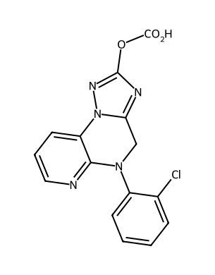 O=C(O)Oc1nc2n(n1)-c1cccnc1N(c1ccccc1Cl)C2